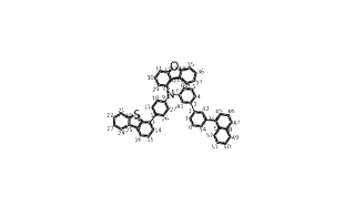 c1cc(-c2cccc(N(c3ccc(-c4cccc5c4sc4ccccc45)cc3)c3cccc4oc5ccccc5c34)c2)cc(-c2cccc3ccccc23)c1